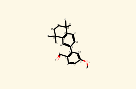 COc1ccc(C=O)c(-c2ccc3c(c2)C(C)(C)CCC3(C)C)c1